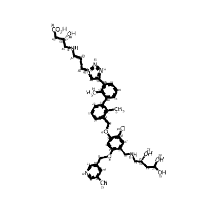 Cc1c(COc2cc(OCc3cncc(C#N)c3)c(CNC[C@@H](O)CC(O)O)cc2Cl)cccc1-c1cccc(-c2cn(CCCNC[C@@H](O)CC(=O)O)nn2)c1C